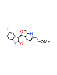 COCCc1ccc2c(n1)COC2=C1C(=O)Nc2ccc(F)cc21